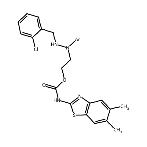 CC(=O)N(CCOC(=O)Nc1nc2cc(C)c(C)cc2s1)NCc1ccccc1Cl